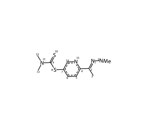 CNN=C(C)c1ccc(SC(=S)N(C)C)cn1